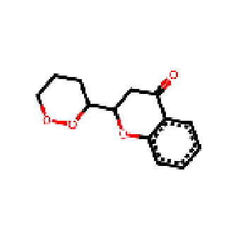 O=C1CC(C2CCCOO2)Oc2ccccc21